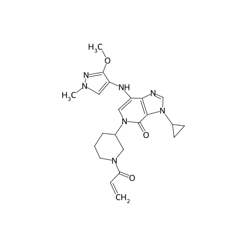 C=CC(=O)N1CCCC(n2cc(Nc3cn(C)nc3OC)c3ncn(C4CC4)c3c2=O)C1